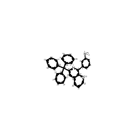 O=[N+]([O-])c1cccc(-c2nc(C(c3ccccc3)(c3ccccc3)c3ccccc3)cc3cccnc23)c1